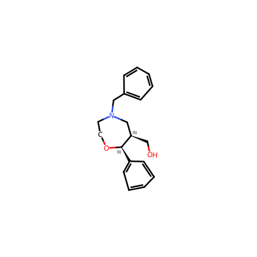 OC[C@@H]1CN(Cc2ccccc2)CCO[C@@H]1c1ccccc1